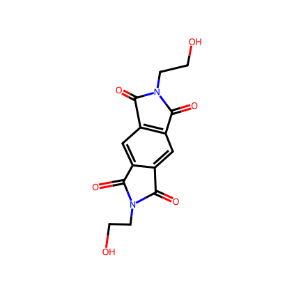 O=c1c2cc3c(=O)n(CCO)c(=O)c3cc2c(=O)n1CCO